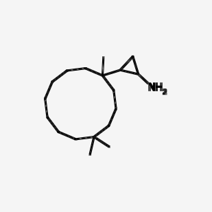 CC1(C)CCCCCCCC(C)(C2CC2N)CCC1